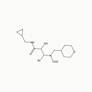 CC(C)C(C(O)C(=O)NCC1CC1)N(C=O)CC1CCOCC1